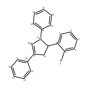 Fc1ccccc1C1CC(c2ccccc2)=NN1c1ccccc1